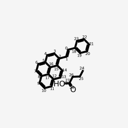 C(=Cc1ccc2ccc3cccc4ccc1c2c34)c1ccccc1.CCCC(=O)O